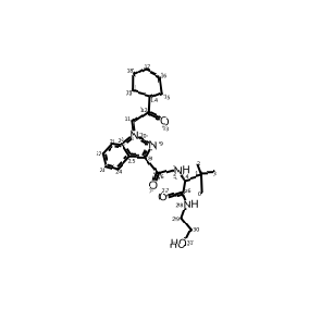 CC(C)(C)[C@H](NC(=O)c1nn(CC(=O)C2CCCCC2)c2ccccc12)C(=O)NCCO